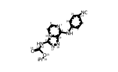 [C-]#[N+]c1ccc(Nc2nccn3c(NC(=O)OC(C)C)nnc23)cc1